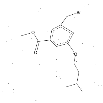 COC(=O)c1cc(CBr)cc(OCCC(C)C)c1